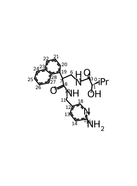 CC(C)[C@@H](O)C(=O)NCC(C(=O)NCc1ccc(N)nc1)c1cccc2ccccc12